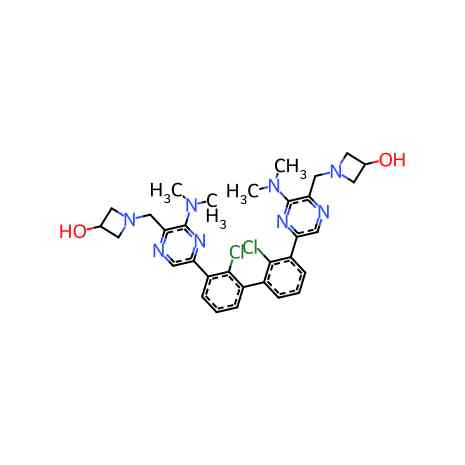 CN(C)c1nc(-c2cccc(-c3cccc(-c4cnc(CN5CC(O)C5)c(N(C)C)n4)c3Cl)c2Cl)cnc1CN1CC(O)C1